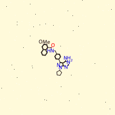 COc1ccc2ccccc2c1C(=O)NCc1ccc(-c2nn(C3CCCC3)c3ncnc(N)c23)cc1